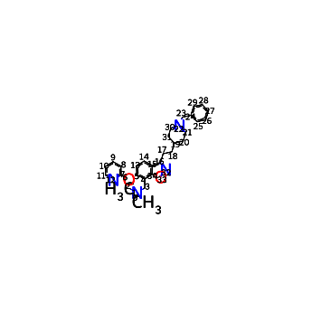 CN(C)Cc1c(Oc2ccccn2)ccc2c(CCC3CCN(Cc4ccccc4)CC3)noc12